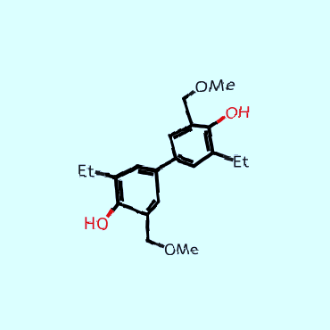 CCc1cc(-c2cc(CC)c(O)c(COC)c2)cc(COC)c1O